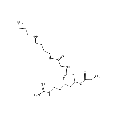 CCC(=O)OC(CCCCNC(=N)N)CC(=O)NCC(=O)NCCCCNCCCN